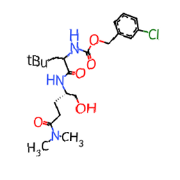 CN(C)C(=O)CC[C@@H](CO)NC(=O)C(CC(C)(C)C)NC(=O)OCc1cccc(Cl)c1